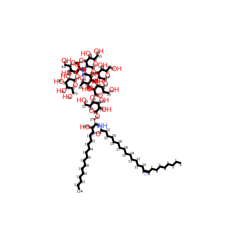 CCCCCCCC/C=C\CCCCCCCCCCCCCC(=O)N[C@@H](CO[C@@H]1OC(CO)[C@@H](O[C@@H]2OC(CO)[C@H](O[C@@H]3OC(CO)[C@H](O)[C@H](O[C@@H]4OC(CO)[C@H](O)[C@H](O[C@@H]5OC(CO)[C@H](O)[C@H](O[C@H]6OC(CO)[C@H](O)[C@H](O)C6O)C5O[C@H]5OC(C)[C@@H](O)C(O)[C@@H]5O)C4NC(C)=O)C3O)[C@H](O)C2O)[C@H](O)C1O)[C@H](O)/C=C/CCCCCCCCCCCCC